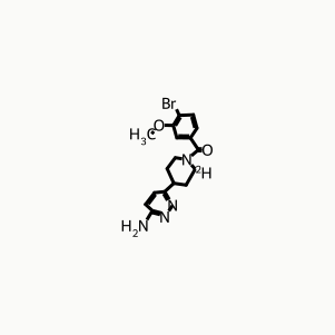 [2H]C1CC(c2ccc(N)nn2)CCN1C(=O)c1ccc(Br)c(OC)c1